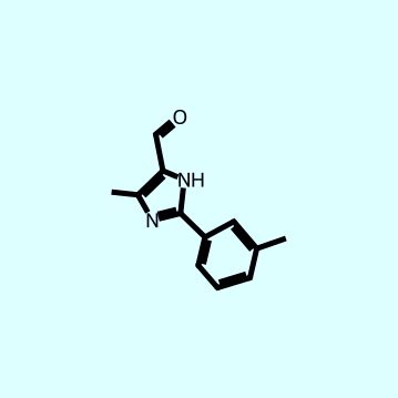 Cc1cccc(-c2nc(C)c(C=O)[nH]2)c1